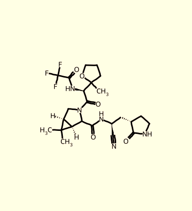 CC1([C@H](NC(=O)C(F)(F)F)C(=O)N2C[C@H]3[C@@H](C2C(=O)N[C@H](C#N)C[C@@H]2CCNC2=O)C3(C)C)CCCO1